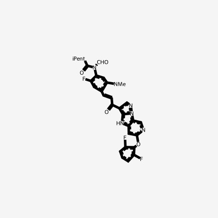 CCCC(C)C(=O)N(C=O)c1cc(NC)c(/C=C/C(=O)c2cnn3c2[nH]c2cc(Oc4c(F)cccc4F)ncc23)cc1F